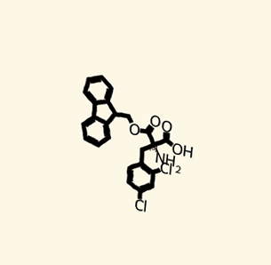 N[C@@](Cc1ccc(Cl)cc1Cl)(C(=O)O)C(=O)OCC1c2ccccc2-c2ccccc21